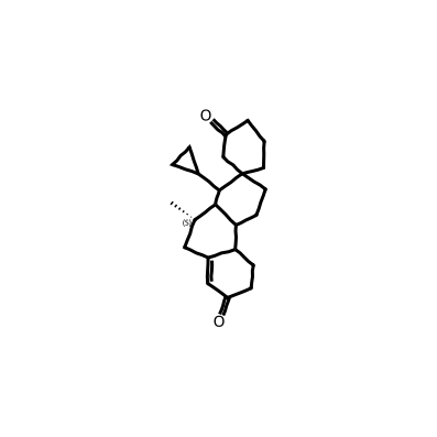 C[C@H]1CC2=CC(=O)CCC2C2CCC3(CCCC(=O)C3)C(C3CC3)C21